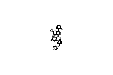 COC(=O)CC(NC(=O)C(CC(C)C)n1cc(CN2CCOCC2)ccc1=O)c1cncc(-c2c(C)cccc2C)c1